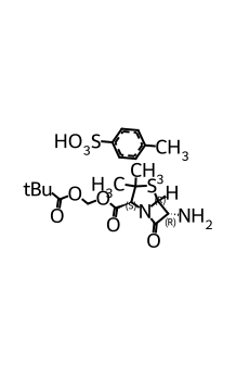 CC(C)(C)C(=O)OCOC(=O)[C@@H]1N2C(=O)[C@@H](N)[C@H]2SC1(C)C.Cc1ccc(S(=O)(=O)O)cc1